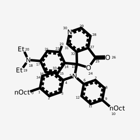 CCCCCCCCc1ccc(N(c2ccc(CCCCCCCC)cc2)C2(c3ccc(N(CC)CC)cc3C)OC(=O)c3ccncc32)cc1